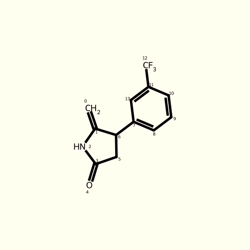 C=C1NC(=O)CC1c1cccc(C(F)(F)F)c1